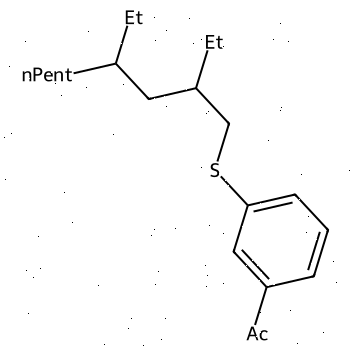 CCCCCC(CC)CC(CC)CSc1cccc(C(C)=O)c1